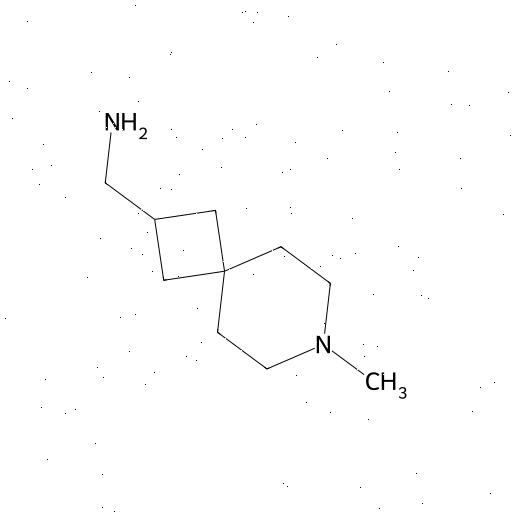 CN1CCC2(CC1)CC(CN)C2